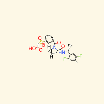 Cc1cc(F)c([C@H](NC(=O)[C@H]2C[C@H]3C[C@H]3N2C(=O)c2cccc(S(=O)(=O)CC(=O)O)c2)C2CC2)cc1F